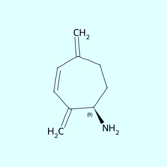 C=C1C=CC(=C)[C@H](N)CC1